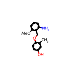 COc1cccc(N)c1COc1ccc(O)cc1C